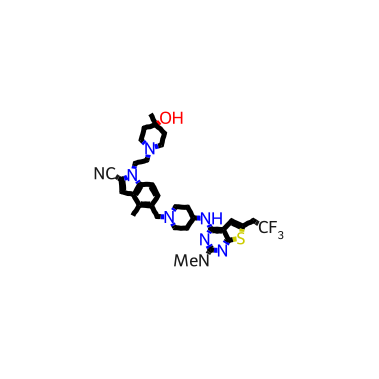 CNc1nc(NC2CCN(Cc3ccc4c(cc(C#N)n4CCN4CCC(C)(O)CC4)c3C)CC2)c2cc(CC(F)(F)F)sc2n1